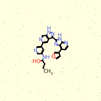 CCCC(O)Nc1cncc(-c2cc3c(-c4nc5c(-c6ccoc6)ccnc5[nH]4)n[nH]c3cn2)c1